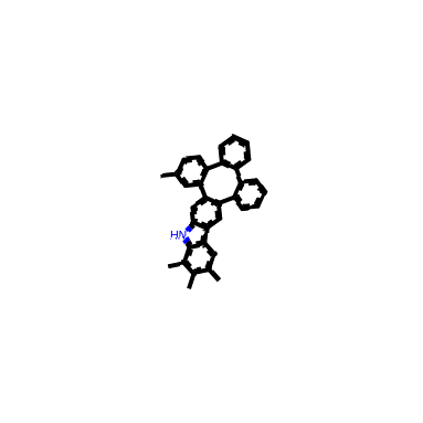 Cc1ccc2c(c1)-c1cc3[nH]c4c(C)c(C)c(C)cc4c3cc1-c1ccccc1-c1ccccc1-2